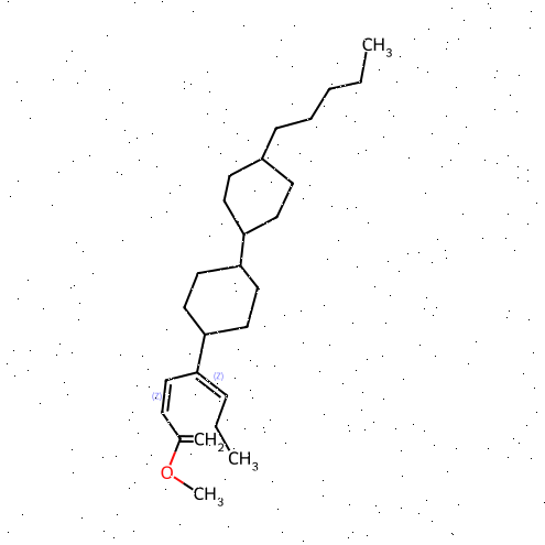 C=C(/C=C\C(=C/CC)C1CCC(C2CCC(CCCCC)CC2)CC1)OC